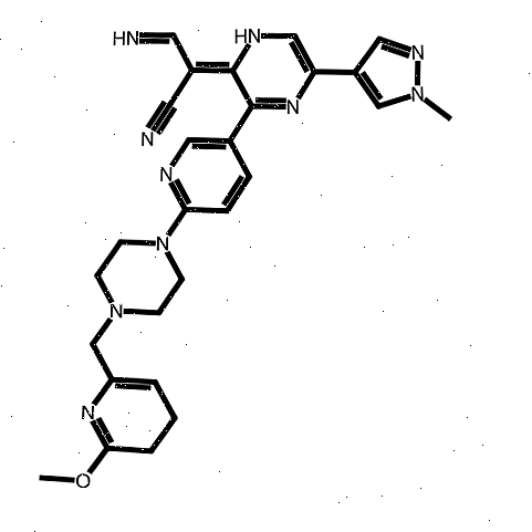 COC1=NC(CN2CCN(c3ccc(C4=NC(c5cnn(C)c5)=CN/C4=C(/C#N)C=N)cn3)CC2)=CCC1